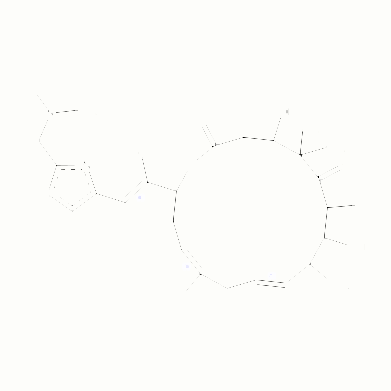 C/C(=C\c1csc(CN(C)C)n1)C1C/C=C(/C(F)(F)F)C/C=C/C(C)C(O)C(C)C(=O)C(C)(C)C(O)CC(=O)O1